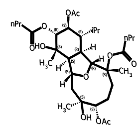 CCCC(=O)O[C@@H]1[C@@H](OC(C)=O)[C@H](C(C)C)[C@@H]2[C@@H]([C@H]3C[C@](C)(O)[C@@H](OC(C)=O)CC[C@@](C)(OC(=O)CCC)[C@@H]2O3)[C@]1(C)O